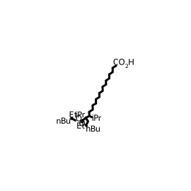 CCCCC(CC)COC(=O)C(CC(CC)CCCC)(C(C)C)C(CCCCCCCCCCCCCCCCC(=O)O)C(C)C